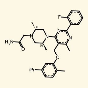 Cc1ccc(C(C)C)cc1OCc1c(C)nc(-c2ccccc2F)nc1N1C[C@@H](C)N(CC(N)=O)C[C@@H]1C